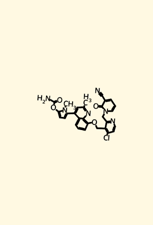 Cc1cc(-c2ccc(OC(N)=O)n2C)c2cccc(OCc3c(Cl)ccnc3Cn3cccc(C#N)c3=O)c2n1